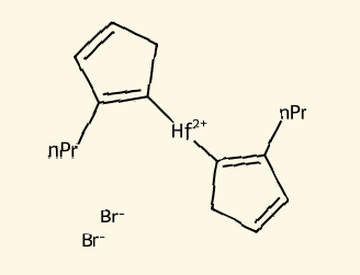 CCCC1=[C]([Hf+2][C]2=C(CCC)C=CC2)CC=C1.[Br-].[Br-]